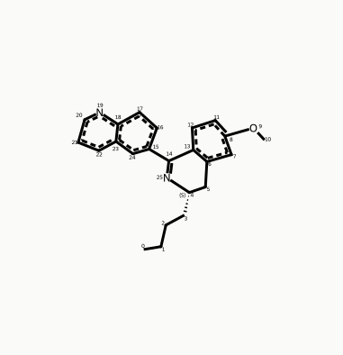 CCCC[C@H]1Cc2cc(OC)ccc2C(c2ccc3ncccc3c2)=N1